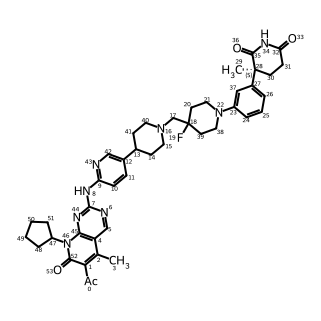 CC(=O)c1c(C)c2cnc(Nc3ccc(C4CCN(CC5(F)CCN(c6cccc([C@]7(C)CCC(=O)NC7=O)c6)CC5)CC4)cn3)nc2n(C2CCCC2)c1=O